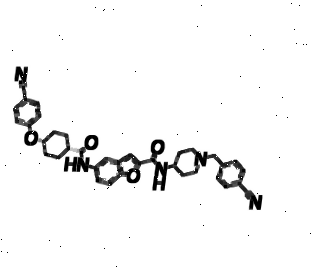 N#Cc1ccc(CN2CCC(NC(=O)c3cc4cc(NC(=O)[C@H]5CC[C@@H](Oc6ccc(C#N)cc6)CC5)ccc4o3)CC2)cc1